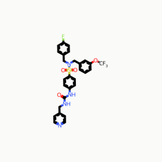 O=C(NCc1ccncc1)Nc1ccc(S(=O)(=O)N(Cc2ccc(F)cc2)Cc2cccc(OC(F)(F)F)c2)cc1